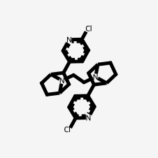 Clc1ccc(C2CC3CCC2N3CCN2C3CCC2C(c2ccc(Cl)nc2)C3)cn1